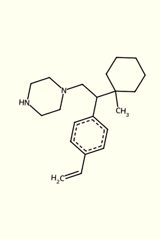 C=Cc1ccc(C(CN2CCNCC2)C2(C)CCCCC2)cc1